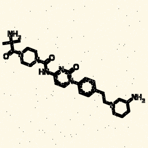 CC(C)(N)C(=O)N1CCN(C(=O)Nc2ccn(-c3ccc(CCN4CCCC(N)C4)cc3)c(=O)n2)CC1